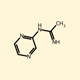 CC(=N)Nc1cnccn1